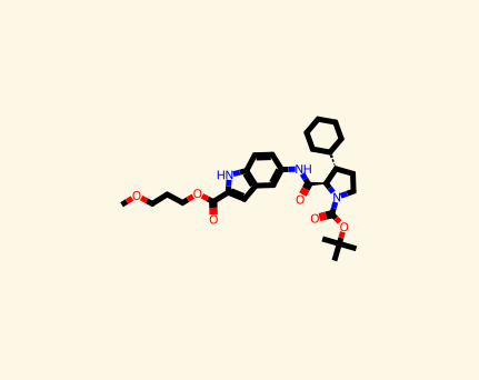 COCCCOC(=O)c1cc2cc(NC(=O)[C@H]3[C@H](C4CCCCC4)CCN3C(=O)OC(C)(C)C)ccc2[nH]1